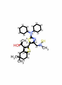 C=C(O)c1c(-c2sc(N(C3CCCCC3)C3CCCCC3)nc2CN(C)S)sc2c1CC(C)(C)CC2